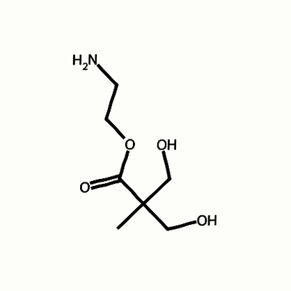 CC(CO)(CO)C(=O)OCCN